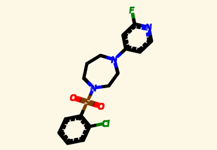 O=S(=O)(c1ccccc1Cl)N1CCCN(c2ccnc(F)c2)CC1